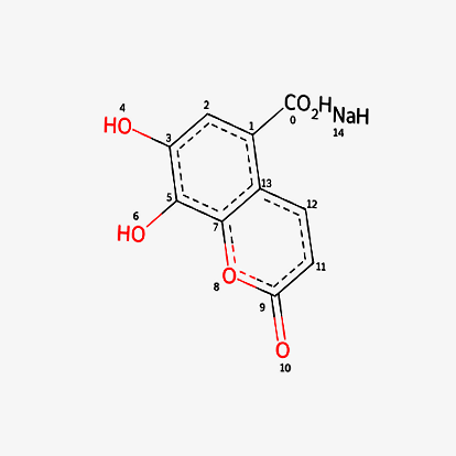 O=C(O)c1cc(O)c(O)c2oc(=O)ccc12.[NaH]